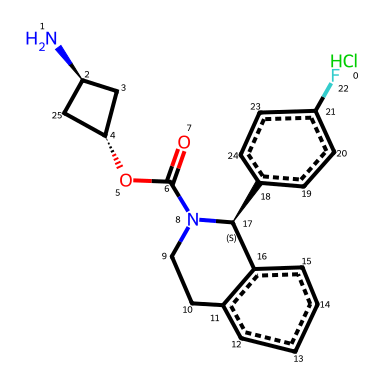 Cl.N[C@H]1C[C@H](OC(=O)N2CCc3ccccc3[C@@H]2c2ccc(F)cc2)C1